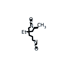 CC=CCC(CC)(CCCN=C=O)CN=C=O